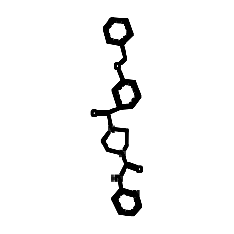 O=C(Nc1ccccn1)N1CCN(C(=O)c2cccc(OCc3ccccc3)c2)CC1